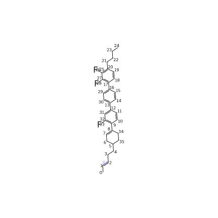 C/C=C/CCC1CC=C(c2ccc(-c3ccc(-c4ccc(CCCC)c(F)c4F)cc3)cc2F)CC1